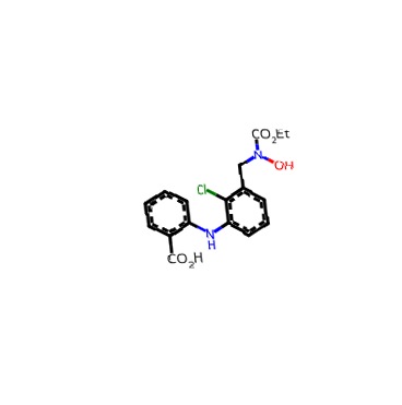 CCOC(=O)N(O)Cc1cccc(Nc2ccccc2C(=O)O)c1Cl